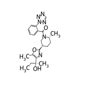 CC[C@](C)(O)c1nc([C@@H]2CC[C@@H](C)N(C(=O)c3ccccc3-n3ncnn3)C2)oc1C